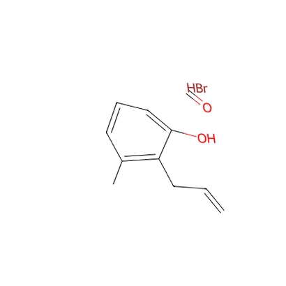 Br.C=CCc1c(C)cccc1O.C=O